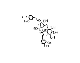 C[C@@H]1O[C@@H](OC2[C@@H](O)[C@H](OCCc3ccc(O)c(O)c3)O[C@H](CO)[C@H]2OC(=O)/C=C/c2ccc(O)c(O)c2)[C@H](O)[C@H](O)[C@H]1O